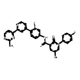 Nc1nccc(-c2cc(-c3ccc(NC(=O)c4cc(Br)cn(-c5ccc(F)cc5)c4=O)cc3F)ccn2)n1